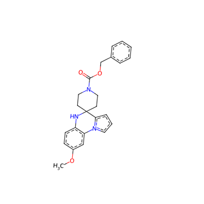 COc1ccc2c(c1)-n1cccc1C1(CCN(C(=O)OCc3ccccc3)CC1)N2